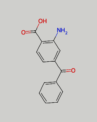 Nc1cc(C(=O)c2ccccc2)ccc1C(=O)O